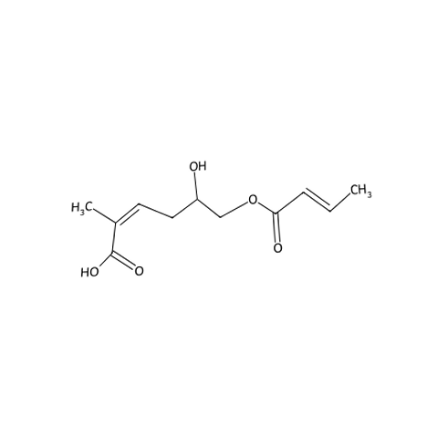 CC=CC(=O)OCC(O)CC=C(C)C(=O)O